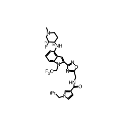 CC(C)Cn1ccc(C(=O)NCc2nc(-c3cc4c(N[C@@H]5CCN(C)C[C@@H]5F)cccc4n3CC(F)(F)F)no2)c1